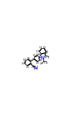 CC(C)N(C(C)C)C1(c2ccccc2)C=CC(c2ccccc2C#N)=CC1